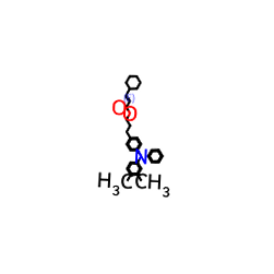 Cc1ccc(N(c2ccccc2)c2ccc(CCCOC(=O)/C=C/C3CCCCC3)cc2)cc1C